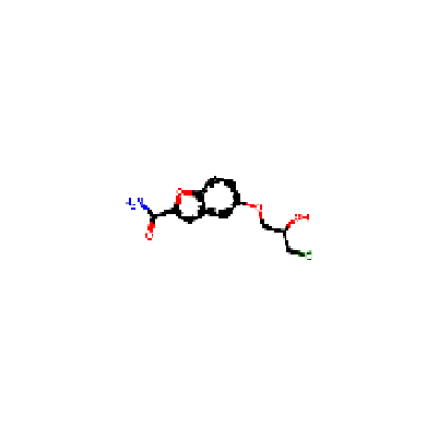 NC(=O)c1cc2cc(OCC(O)CCl)ccc2o1